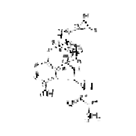 C[C@H]1[C@H]2Cc3ccc(O)cc3[C@@]1(CCNC(=O)CN)CCN2CC1CC1